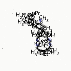 C/C=C/[C@H]1O[C@@](O)([C@@H](C)[C@H](O)[C@H](C)[C@H]2OC(O)/C(OC)=C/C(C)=C/[C@@H](C)[C@@H](O)[C@@H](CC)[C@@H](O)[C@H](C)C/C(C)=C/C=C/[C@@H]2O)C[C@@H](O[C@@H]2C[C@H](OC(=O)CCC)[C@@H](OC(N)=O)[C@H](C)O2)[C@@H]1C